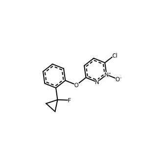 [O-][n+]1nc(Oc2ccccc2C2(F)CC2)ccc1Cl